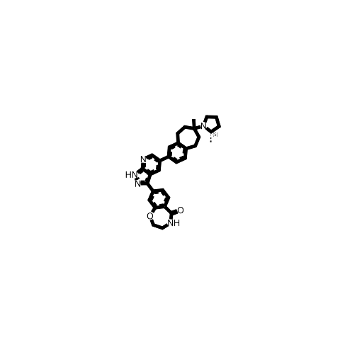 C[C@H]1CCCN1C1(C)CCc2ccc(-c3cnc4[nH]nc(-c5ccc6c(c5)OCCNC6=O)c4c3)cc2CC1